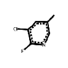 Cc1cnc(F)c(Cl)c1